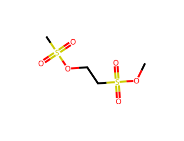 COS(=O)(=O)CCOS(C)(=O)=O